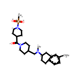 CCCN(CC1CCN(C(=O)C2CCN(S(C)(=O)=O)CC2)CC1)C1CCc2ccc(OC)cc2C1